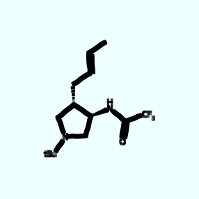 CC=CC[C@H]1CN(C(C)(C)C)C[C@@H]1NC(=O)C(F)(F)F